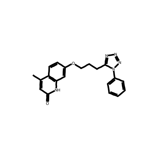 Cc1cc(=O)[nH]c2cc(OCCCc3nnnn3-c3ccccc3)ccc12